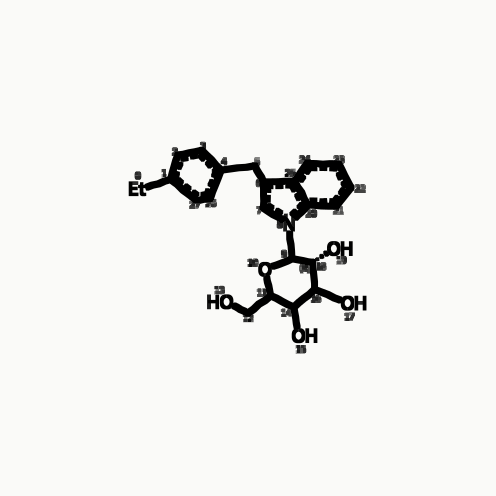 CCc1ccc(Cc2cn(C3OC(CO)C(O)C(O)[C@H]3O)c3ccccc23)cc1